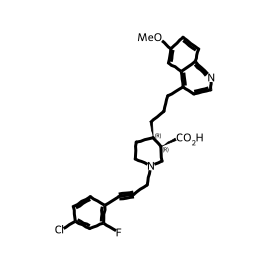 COc1ccc2nccc(CCC[C@@H]3CCN(CC#Cc4ccc(Cl)cc4F)C[C@@H]3C(=O)O)c2c1